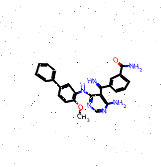 COc1ccc(-c2ccccc2)cc1Nc1ncnc(N)c1C(=N)c1cccc(C(N)=O)c1